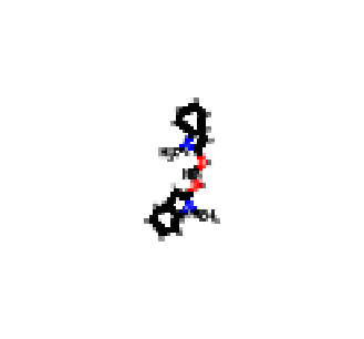 Cn1c(OBOc2cc3ccccc3n2C)cc2ccccc21